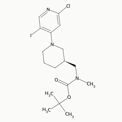 CN(C[C@H]1CCCN(c2cc(Cl)ncc2I)C1)C(=O)OC(C)(C)C